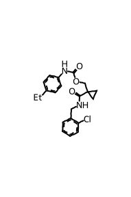 CCc1ccc(NC(=O)OCC2(C(=O)NCc3ccccc3Cl)CC2)cc1